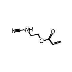 C=CC(=O)OCCNC#N